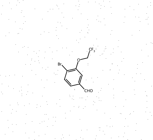 O=Cc1ccc(Br)c(OCC(F)(F)F)c1